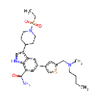 CCCCN(C)Cc1cc(-c2cc(C(N)=O)c3[nH]cc(C4CCN(S(=O)(=O)CC)CC4)c3c2)cs1